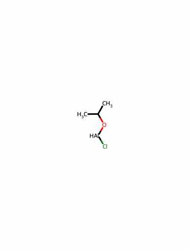 CC(C)[O][AlH][Cl]